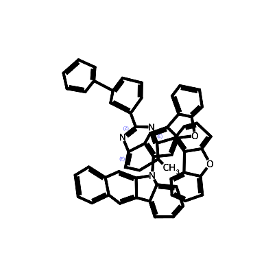 CC1C/C=C(c2cc3c(cc2-n2c4ccccc4c4cc5ccccc5cc42)oc2ccccc23)/N=C(c2cccc(-c3ccccc3)c2)\N=C/1c1cccc2oc3ccccc3c12